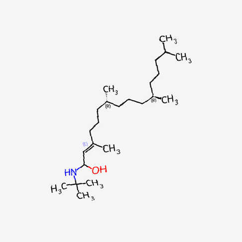 C/C(=C\C(O)NC(C)(C)C)CCC[C@H](C)CCC[C@H](C)CCCC(C)C